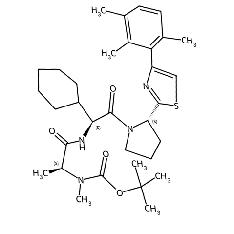 Cc1ccc(C)c(-c2csc([C@@H]3CCCN3C(=O)[C@@H](NC(=O)[C@H](C)N(C)C(=O)OC(C)(C)C)C3CCCCC3)n2)c1C